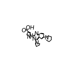 O=C(O)c1cnn(-c2nc(N3CCCC3)c3cc(N4CCCCC4)ccc3n2)c1